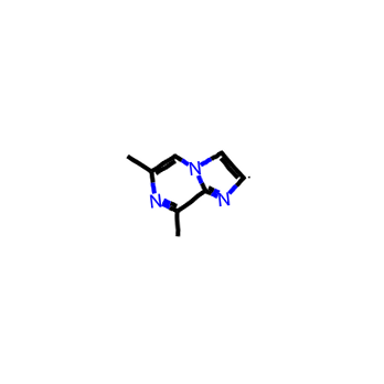 Cc1cn2c[c]nc2c(C)n1